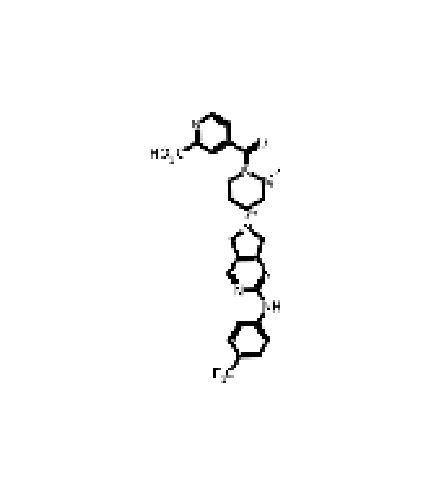 C[C@@H]1C[C@H](N2Cc3cnc(Nc4ccc(C(F)(F)F)cc4)nc3C2)CCN1C(=O)c1ccnc(C(=O)O)c1